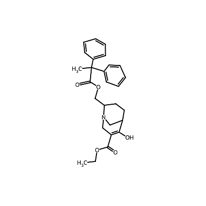 CCOC(=O)C1=C(O)C2CCC(COC(=O)C(C)(c3ccccc3)c3ccccc3)N(C1)C2